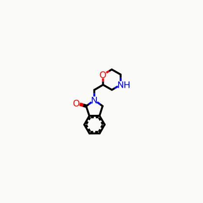 O=C1c2ccccc2CN1CC1CNCCO1